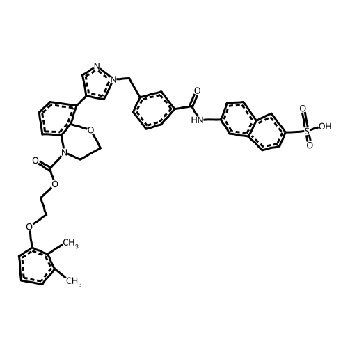 Cc1cccc(OCCOC(=O)N2CCOc3c(-c4cnn(Cc5cccc(C(=O)Nc6ccc7cc(S(=O)(=O)O)ccc7c6)c5)c4)cccc32)c1C